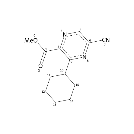 COC(=O)c1ncc(C#N)nc1C1CCCCC1